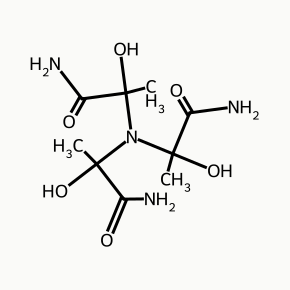 CC(O)(C(N)=O)N(C(C)(O)C(N)=O)C(C)(O)C(N)=O